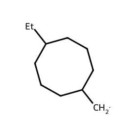 [CH2]C1CCCC(CC)CCC1